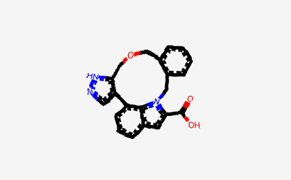 O=C(O)c1cc2cccc3c2n1Cc1ccccc1COCc1[nH]ncc1-3